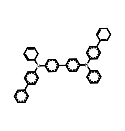 C1=CCC(N(c2ccc(-c3ccccc3)cc2)c2ccc(-c3ccc(N(c4ccccc4)c4ccc(C5=CCCC=C5)cc4)cc3)cc2)C=C1